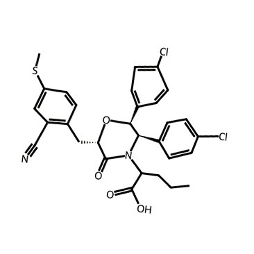 CCCC(C(=O)O)N1C(=O)[C@H](Cc2ccc(SC)cc2C#N)O[C@@H](c2ccc(Cl)cc2)[C@H]1c1ccc(Cl)cc1